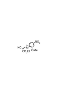 CCOC(=O)/C(C#N)=C\Nc1ccc([N+](=O)[O-])cc1OC